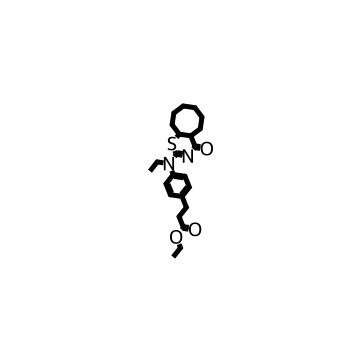 CCOC(=O)CCc1ccc(N(CC)C2=NC(=O)C3CCCCCCC3S2)cc1